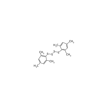 Cc1cc(C)c(SSSSc2c(C)cc(C)cc2C)c(C)c1